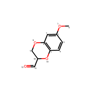 COc1ccc2c(c1)OCC(C=O)O2